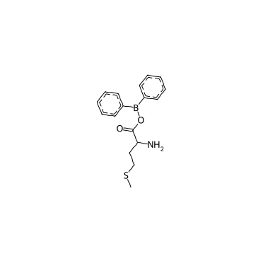 CSCCC(N)C(=O)OB(c1ccccc1)c1ccccc1